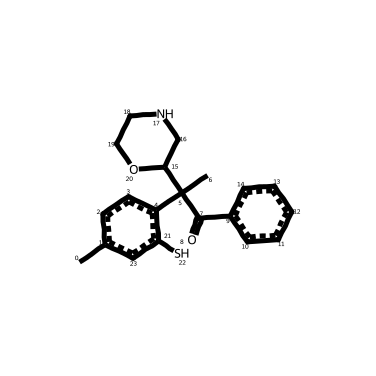 Cc1ccc(C(C)(C(=O)c2ccccc2)C2CNCCO2)c(S)c1